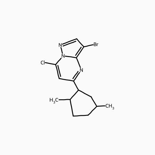 CC1CCC(C)C(c2cc(Cl)n3ncc(Br)c3n2)C1